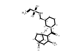 C=CS(=O)(=O)NC[C@H]1CCCN(C(=O)C2C(C)C[C@@H]3CC[C@@H]2C3)C1